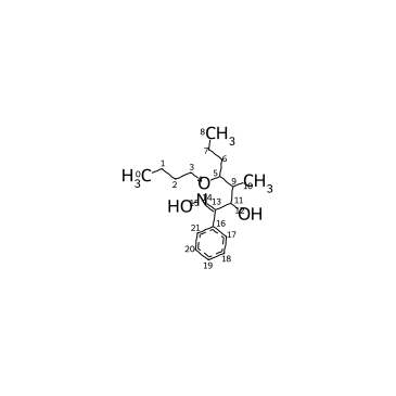 CCCCOC(CCC)C(C)C(O)C(=NO)c1ccccc1